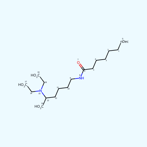 CCCCCCCCCCCCCCCC(=O)NCCCCC(C(=O)O)N(CC(=O)O)CC(=O)O